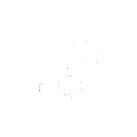 O=S(=O)(Oc1cccc2cc(F)ccc12)C(F)C(F)F